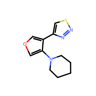 [c]1occ(N2CCCCC2)c1-c1csnn1